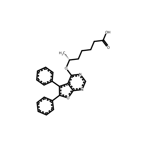 C[C@H](CCCCC(=O)O)Oc1ncnc2oc(-c3ccccc3)c(-c3ccccc3)c12